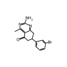 Cc1nc(N)nc2c1C(=O)CC(c1cccc(Br)c1)C2